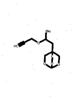 C#CCOC(CC12COC(OC1)OC2)C(C)(C)C